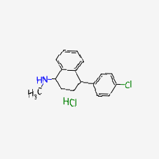 CNC1CCC(c2ccc(Cl)cc2)c2ccccc21.Cl